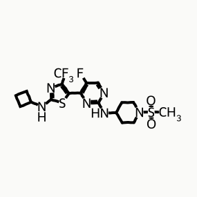 CS(=O)(=O)N1CCC(Nc2ncc(F)c(-c3sc(NC4CCC4)nc3C(F)(F)F)n2)CC1